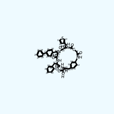 O=C1CCC(=O)N[C@H](Cc2ccsc2)C(=O)N[C@@H](Cc2ccc(-c3ccccc3)cc2)C(=O)N[C@H](Cc2ccccc2)C(=O)N[C@H](C(=O)O)Cc2ccc(cc2)N1